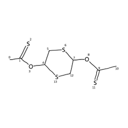 CC(=S)OC1CSC(OC(C)=S)CS1